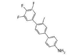 Cc1cc(-c2ccc(N)cc2)ccc1-c1cc(F)c(F)c(F)c1